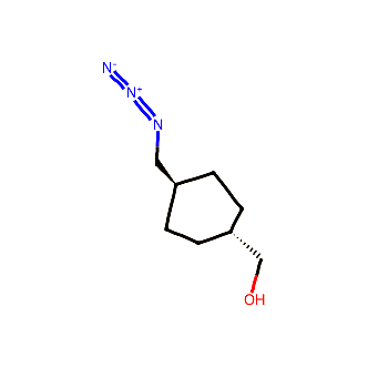 [N-]=[N+]=NC[C@H]1CC[C@H](CO)CC1